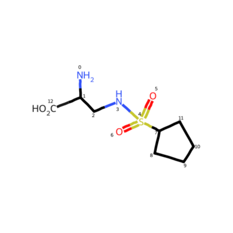 NC(CNS(=O)(=O)C1CCCC1)C(=O)O